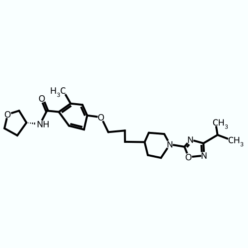 Cc1cc(OCCCC2CCN(c3nc(C(C)C)no3)CC2)ccc1C(=O)N[C@@H]1CCOC1